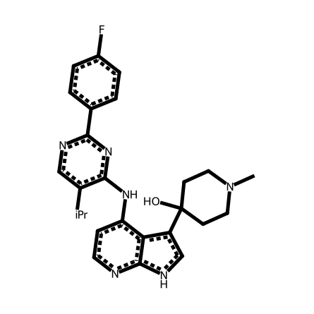 CC(C)c1cnc(-c2ccc(F)cc2)nc1Nc1ccnc2[nH]cc(C3(O)CCN(C)CC3)c12